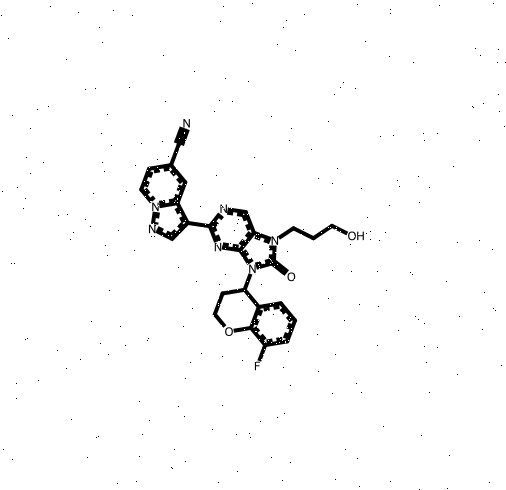 N#Cc1ccn2ncc(-c3ncc4c(n3)n(C3CCOc5c(F)cccc53)c(=O)n4CCCO)c2c1